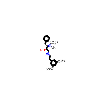 COc1cc(CCNC[C@H](O)[C@H](Cc2ccccc2)N(C(=O)O)C(C)(C)C)cc(OC)c1